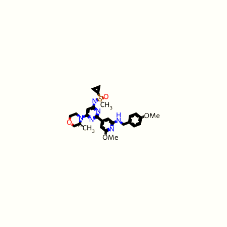 COc1ccc(CNc2cc(-c3nc(N=S(C)(=O)C4CC4)cc(N4CCOC[C@H]4C)n3)cc(OC)n2)cc1